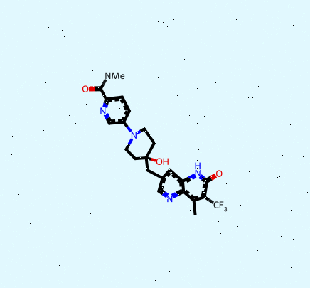 CNC(=O)c1ccc(N2CCC(O)(Cc3cnc4c(C)c(C(F)(F)F)c(=O)[nH]c4c3)CC2)cn1